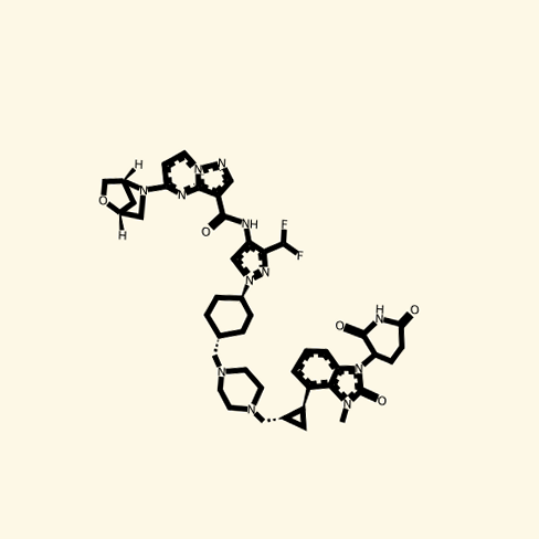 Cn1c(=O)n(C2CCC(=O)NC2=O)c2cccc([C@H]3C[C@@H]3CN3CCN(C[C@H]4CC[C@H](n5cc(NC(=O)c6cnn7ccc(N8C[C@H]9C[C@@H]8CO9)nc67)c(C(F)F)n5)CC4)CC3)c21